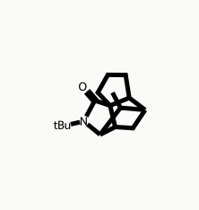 CC1C2CC3C1N(C(C)(C)C)C(=O)C31CCCC21